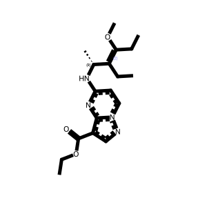 CCOC(=O)c1cnn2ccc(N[C@H](C)/C(CC)=C(/CC)OC)nc12